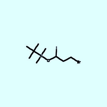 CC(C)(C)[Si](C)(C)OC(I)CCBr